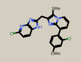 COc1ccc(-c2cccn3c(SC)c(Cc4nc5nc(Cl)ccc5[nH]4)nc23)c(Cl)c1